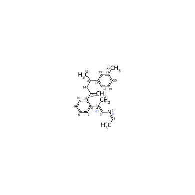 C/C=N\C=C(/C)c1ccccc1C(C)CC(C)c1cccc(C)c1